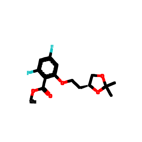 CC(C)(C)OC(=O)c1c(F)cc(F)cc1OCC[C@@H]1COC(C)(C)O1